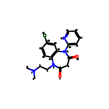 CN(C)CCN1C(=O)CC(=O)N(c2ccccn2)c2cc(Cl)ccc21